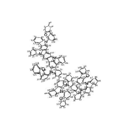 C=C/C=C\c1oc2c(-n3c4ccccc4c4c5c6ccccc6n6c7cc8c9cc%10c(c%11ccc(-c%12cc%13c%14ccccc%14n(-c%14cccc%15c%14oc%14ccccc%14%15)c%13c%13c%12c%12cccc%14c%15cc%16c(cc%15n%13c%14%12)c%12cccc%13c%14ccc%15c%17ccccc%17n(-c%17cccc%18c%17oc%17ccccc%17%18)c%15c%14n%16c%12%13)cc%11n%10-c%10cccc%11c%10oc%10ccccc%10%11)c%10c%11ccccc%11n(c8cc7c(cc43)c56)c9%10)cccc2c1C